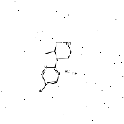 CC1CNCCN1c1ncc(Br)cn1.Cl.Cl